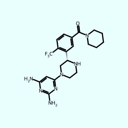 Nc1cc(N2CCN[C@@H](c3cc(C(=O)N4CCCCC4)ccc3C(F)(F)F)C2)nc(N)n1